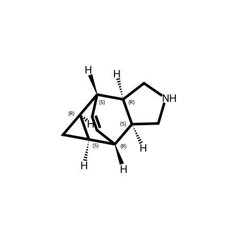 C1=C[C@H]2[C@H]3CNC[C@H]3[C@@H]1[C@H]1C[C@@H]21